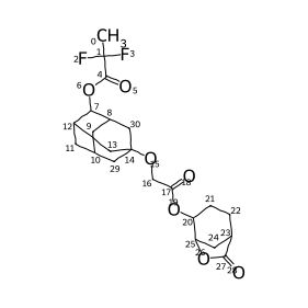 CC(F)(F)C(=O)OC1C2CC3CC1CC(OCC(=O)OC1CCC4CC1OC4=O)(C3)C2